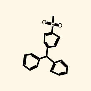 CS(=O)(=O)c1ccc(C(c2ccccc2)c2ccccc2)cc1